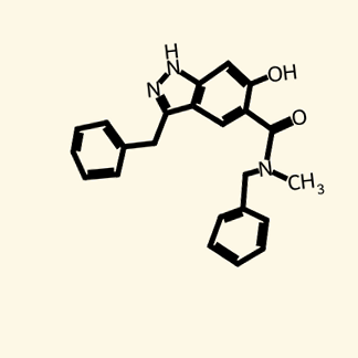 CN(Cc1ccccc1)C(=O)c1cc2c(Cc3ccccc3)n[nH]c2cc1O